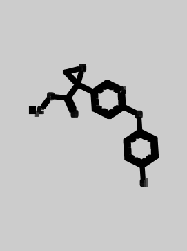 COC(=O)C1(c2ccc(Oc3ccc(Cl)cc3)nc2)CO1